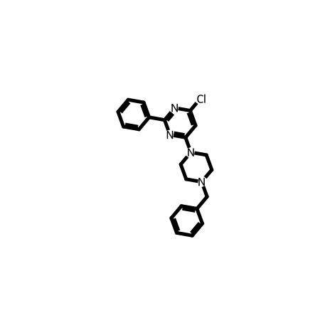 Clc1cc(N2CCN(Cc3ccccc3)CC2)nc(-c2ccccc2)n1